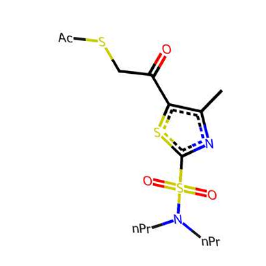 CCCN(CCC)S(=O)(=O)c1nc(C)c(C(=O)CSC(C)=O)s1